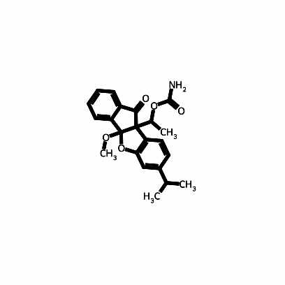 COC12Oc3cc(C(C)C)ccc3C1(C(C)OC(N)=O)C(=O)c1ccccc12